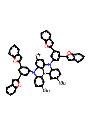 CC(C)c1cc2c3c(c1)N(c1cc(-c4cc5ccccc5o4)cc(-c4cc5ccccc5o4)c1)c1ccc(C(C)(C)C)cc1B3c1cc(C(C)(C)C)ccc1N2c1cc(-c2cc3ccccc3o2)cc(-c2cc3ccccc3o2)c1